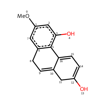 COc1cc(O)c2c(c1)CC=C1CC(O)=CC=C12